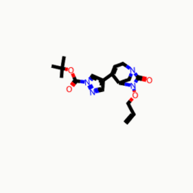 C=CCON1C(=O)N2CC=C(c3cnn(C(=O)OC(C)(C)C)c3)C1C2